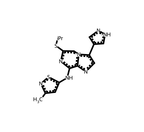 Cc1cc(Nc2nc(SC(C)C)cn3c(-c4cn[nH]c4)cnc23)sn1